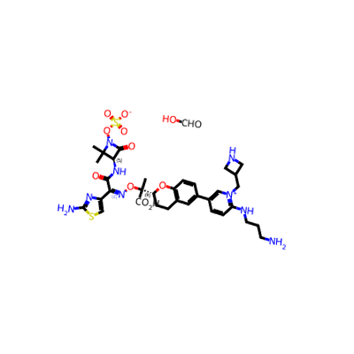 CC(O/N=C(\C(=O)N[C@@H]1C(=O)N(OS(=O)(=O)[O-])C1(C)C)c1csc(N)n1)(C(=O)O)[C@H]1CCc2cc(-c3ccc(NCCCN)[n+](CC4CNC4)c3)ccc2O1.O=CO